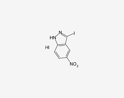 I.O=[N+]([O-])c1ccc2[nH]nc(I)c2c1